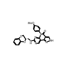 COc1ccc(-n2c(=O)c3c[nH]nc3c3cnc(NC[C@H]4COc5ccccc5O4)nc32)cc1